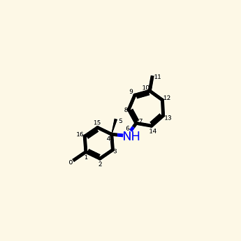 CC1=CC[C@@](C)(NC2=CC=C(C)CC=C2)C=C1